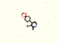 [2H]c1c(C2CCC3(CC2)OCCO3)ccnc1C